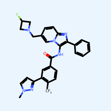 Cn1ccc(-c2cc(C(=O)Nc3c(-c4ccccc4)nc4ccc(CN5CC(F)C5)cn34)ccc2C(F)(F)F)n1